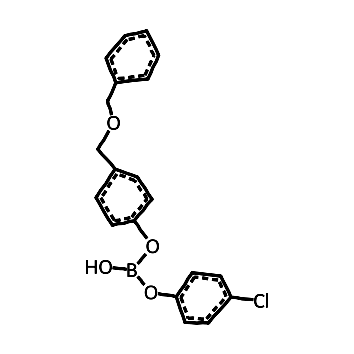 OB(Oc1ccc(Cl)cc1)Oc1ccc(COCc2ccccc2)cc1